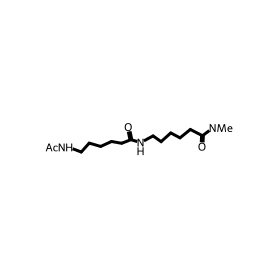 CNC(=O)CCCCCNC(=O)CCCCCNC(C)=O